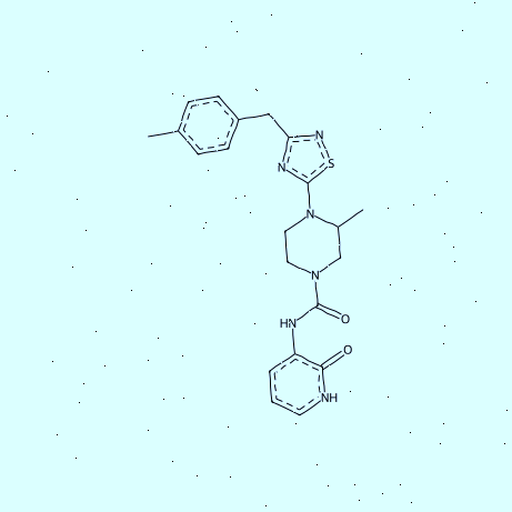 Cc1ccc(Cc2nsc(N3CCN(C(=O)Nc4ccc[nH]c4=O)CC3C)n2)cc1